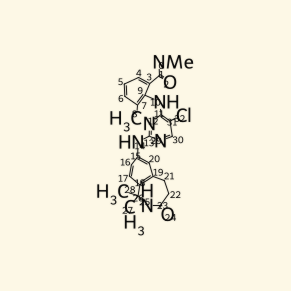 CNC(=O)c1cccc(C)c1Nc1nc(Nc2ccc3c(c2)CCC(=O)NC3(C)C)ncc1Cl